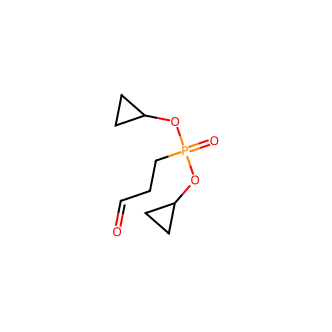 O=CCCP(=O)(OC1CC1)OC1CC1